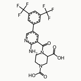 Nc1ncc(-c2cc(C(F)(F)F)cc(C(F)(F)F)c2)cc1C(=O)N1CCN(C(=O)O)CC1C(=O)O